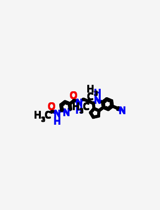 CC(=O)Nc1ccc(C(=O)NCC(C)(C)C2Nc3ccc(C#N)cc3C3CCCC32)cn1